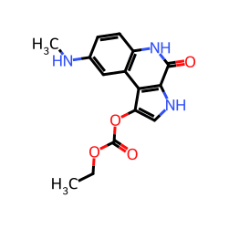 CCOC(=O)Oc1c[nH]c2c(=O)[nH]c3ccc(NC)cc3c12